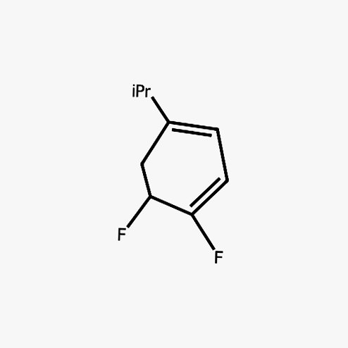 CC(C)C1=CC=C(F)C(F)C1